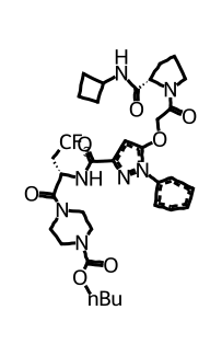 CCCCOC(=O)N1CCN(C(=O)[C@H](CC(F)(F)F)NC(=O)c2cc(OCC(=O)N3CCC[C@H]3C(=O)NC3CCC3)n(-c3ccccc3)n2)CC1